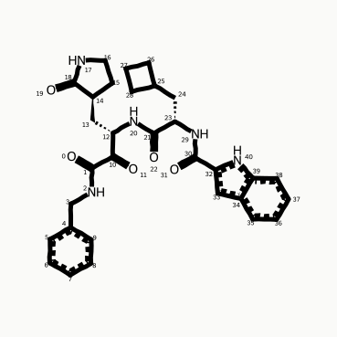 O=C(NCc1ccccc1)C(=O)[C@H](C[C@@H]1CCNC1=O)NC(=O)[C@H](CC1CCC1)NC(=O)c1cc2ccccc2[nH]1